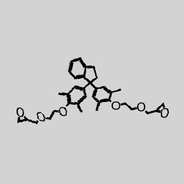 Cc1cc(C2(c3cc(C)c(OCCOCC4CO4)c(C)c3)CCc3ccccc32)cc(C)c1OCCOCC1CO1